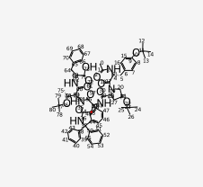 CC(=O)N[C@H](Cc1ccc(OC(C)(C)C)cc1)C(=O)N1C[C@H](OC(C)(C)C)C[C@H]1C(=O)N[C@@H](CC(=O)NC(c1ccccc1)(c1ccccc1)c1ccccc1)C(=O)N[C@H](C(=O)N[C@@H](Cc1ccccc1)C(=O)O)[C@@H](C)OC(C)(C)C